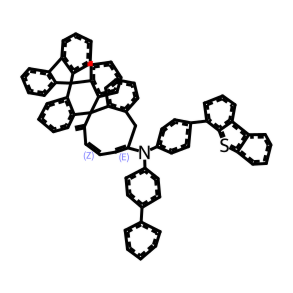 C=C1/C=C\C=C(\N(c2ccc(-c3ccccc3)cc2)c2ccc(-c3cccc4c3sc3ccccc34)cc2)Cc2ccccc2C12c1ccccc1C1(c3ccccc3-c3ccccc31)c1ccccc12